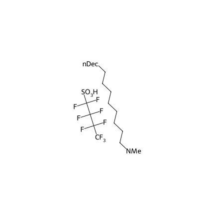 CCCCCCCCCCCCCCCCCCNC.O=S(=O)(O)C(F)(F)C(F)(F)C(F)(F)C(F)(F)F